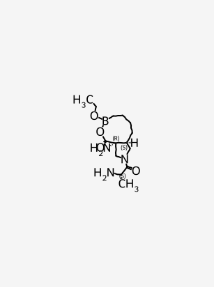 CCOB1CCCC[C@H]2CN(C(=O)[C@H](C)N)C[C@@]2(N)C(=O)O1